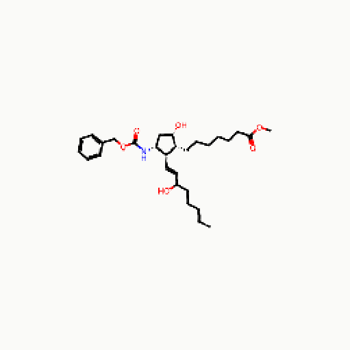 CCCCCC(O)/C=C/[C@@H]1[C@@H](CCCCCCC(=O)OC)[C@@H](O)C[C@H]1NC(=O)OCc1ccccc1